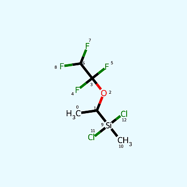 CC(OC(F)(F)C(F)F)[Si](C)(Cl)Cl